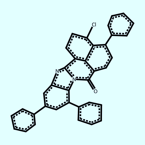 O=c1c2ccc(-c3ccccc3)c3c(Cl)ccc(c32)c2nc3cc(-c4ccccc4)cc(-c4ccccc4)c3n12